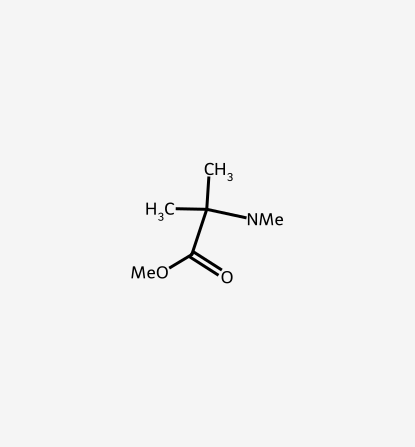 CNC(C)(C)C(=O)OC